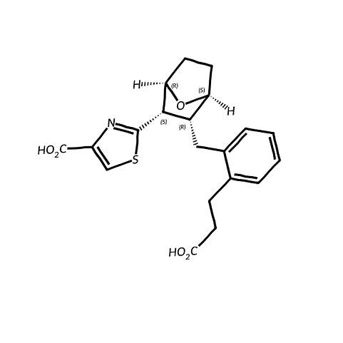 O=C(O)CCc1ccccc1C[C@@H]1[C@H](c2nc(C(=O)O)cs2)[C@H]2CC[C@@H]1O2